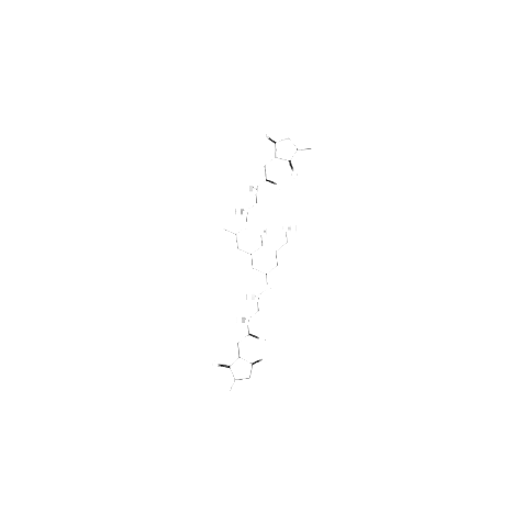 CC(CC(CO)CC(CCCO)ONCNC(=O)CC1C(=O)CC(C)C1=O)ONCNC(=O)CC1C(=O)CC(C)C1=O